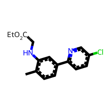 CCOC(=O)CNc1cc(-c2ccc(Cl)cn2)ccc1C